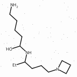 CCC(CCCN1CCC1)NC(O)CCCCN